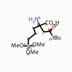 CO[Si](CCCC(N)(CC(=O)C(C)(C)C)C(=O)O)(OC)OC